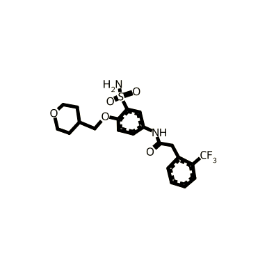 NS(=O)(=O)c1cc(NC(=O)Cc2ccccc2C(F)(F)F)ccc1OCC1CCOCC1